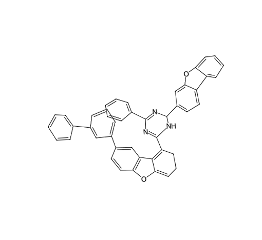 C1=c2oc3ccc(-c4cccc(-c5ccccc5)c4)cc3c2=C(C2=NC(c3ccccc3)=NC(c3ccc4c(c3)oc3ccccc34)N2)CC1